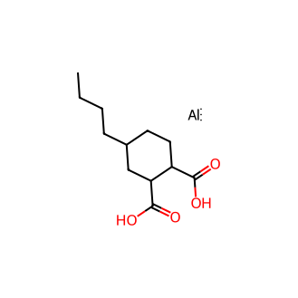 CCCCC1CCC(C(=O)O)C(C(=O)O)C1.[Al]